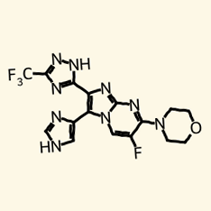 Fc1cn2c(-c3c[nH]cn3)c(-c3nc(C(F)(F)F)n[nH]3)nc2nc1N1CCOCC1